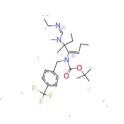 CC/C=C(/N(Cc1ccc(C(F)(F)F)cc1)C(=O)OC(C)(C)C)C(C)(CC)N(C)/C=N\CC